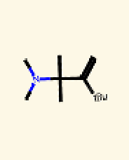 C=C(C(C)(C)C)C(C)(C)N(C)C